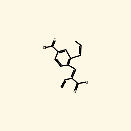 C=C/C(=C\c1ccc(C(=O)Cl)cc1/C=C\C)C(=O)Cl